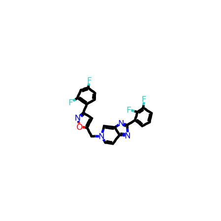 Fc1ccc(-c2cc(Cn3ccc4nc(-c5cccc(F)c5F)nc-4c3)on2)c(F)c1